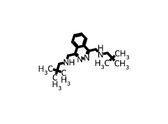 CC(C)(C)CNCc1nnc(CNCC(C)(C)C)c2ccccc12